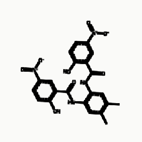 Cc1cc(NC(=O)c2cc([N+](=O)[O-])ccc2O)c(NC(=O)c2cc([N+](=O)[O-])ccc2O)cc1C